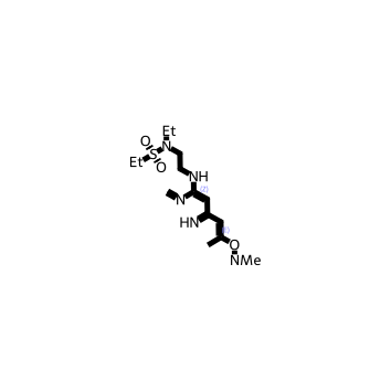 C=N/C(=C\C(=N)/C=C(\C)ONC)NCCN(CC)S(=O)(=O)CC